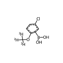 [2H]C([2H])([2H])Oc1ccc(Cl)cc1B(O)O